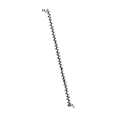 CCCCCCCCCCCCCCCCCCCCCCCCCCCCCCCCCCCCCCCCCCCCCCCCCCCCCCCCCCCCCCCCN